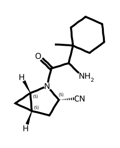 CC1(C(N)C(=O)N2[C@H](C#N)C[C@@H]3C[C@@H]32)CCCCC1